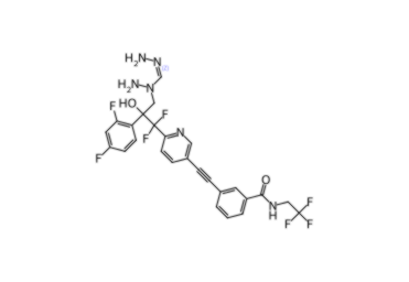 N/N=C\N(N)CC(O)(c1ccc(F)cc1F)C(F)(F)c1ccc(C#Cc2cccc(C(=O)NCC(F)(F)F)c2)cn1